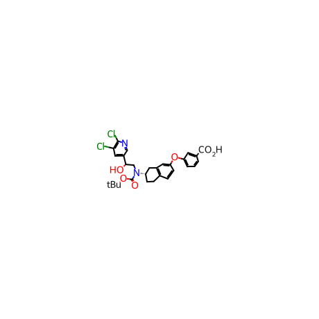 CC(C)(C)OC(=O)N(C[C@@H](O)c1cnc(Cl)c(Cl)c1)[C@H]1CCc2ccc(Oc3cccc(C(=O)O)c3)cc2C1